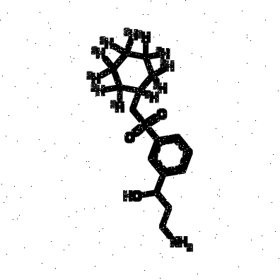 [2H]C1([2H])C([2H])([2H])C([2H])([2H])C([2H])(CS(=O)(=O)c2cccc(C(O)CCN)c2)C([2H])([2H])C1([2H])[2H]